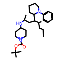 CCCC(C)C(CC(C)NC1CCN(C(=O)OC(C)(C)C)CC1)C1CCCCN1c1ccccc1